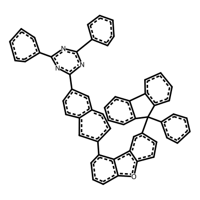 c1ccc(-c2nc(-c3ccccc3)nc(-c3ccc4cc(-c5cccc6oc7ccc(C8(c9ccccc9)c9ccccc9-c9ccccc98)cc7c56)ccc4c3)n2)cc1